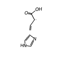 C=C[CH]C(=O)O.c1c[nH]cn1